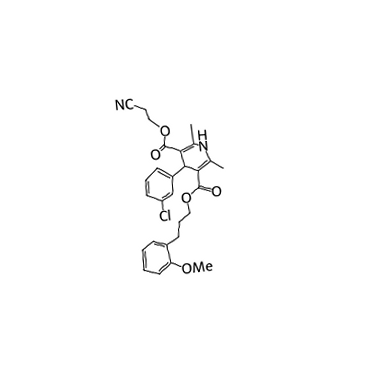 COc1ccccc1CCCOC(=O)C1=C(C)NC(C)=C(C(=O)OCCC#N)C1c1cccc(Cl)c1